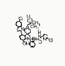 CC(C)(C)CN1CCC2(CC1)CN(c1ccccc1NC(=O)NC1=CCC(Cl)=N1)c1c(O)ccc(-c3nc4cc(Cl)ccc4s3)c12